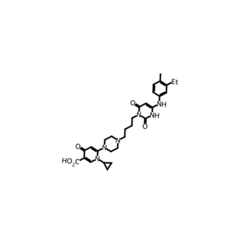 CCc1cc(Nc2cc(=O)n(CCCCN3CCN(c4cc(=O)c(C(=O)O)cn4C4CC4)CC3)c(=O)[nH]2)ccc1C